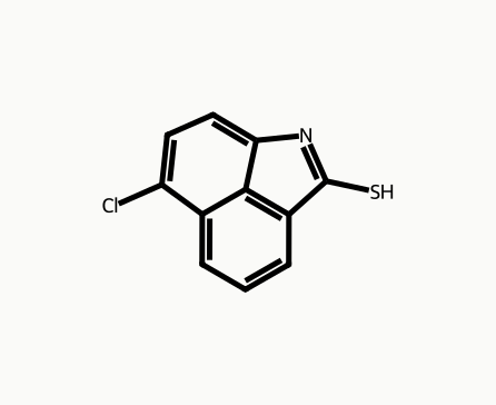 SC1=Nc2ccc(Cl)c3cccc1c23